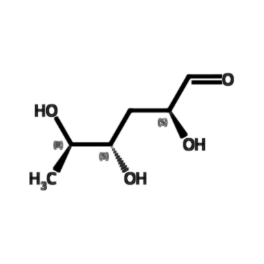 C[C@@H](O)[C@@H](O)C[C@H](O)C=O